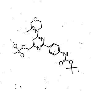 C[C@H]1COCCN1c1cc(COS(C)(=O)=O)nc(-c2ccc(NC(=O)OC(C)(C)C)cc2)n1